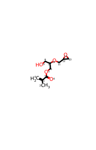 C=C(C)C(=O)OCC(CO)OCC1CO1